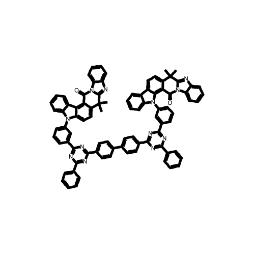 CC1(C)c2ccc3c(c2C(=O)n2c1nc1ccccc12)c1ccccc1n3-c1cccc(-c2nc(-c3ccccc3)nc(-c3ccc(-c4ccc(-c5nc(-c6ccccc6)nc(-c6cccc(-n7c8ccccc8c8ccc9c(c87)C(=O)n7c(nc8ccccc87)C9(C)C)c6)n5)cc4)cc3)n2)c1